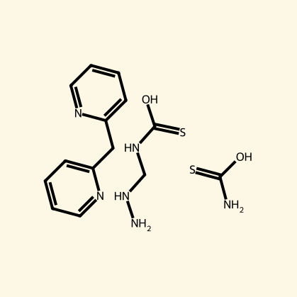 NC(O)=S.NNCNC(O)=S.c1ccc(Cc2ccccn2)nc1